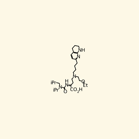 CCOCCN(CCCCc1ccc2c(n1)NCCC2)CC[C@H](NC(=O)N(CC(C)C)C(C)C)C(=O)O